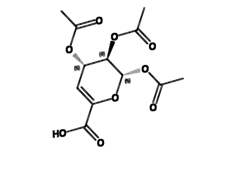 CC(=O)O[C@@H]1OC(C(=O)O)=C[C@H](OC(C)=O)[C@H]1OC(C)=O